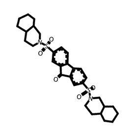 O=C1c2cc(S(=O)(=O)N3CCC4CCCCC4C3)ccc2-c2ccc(S(=O)(=O)N3CCC4CCCCC4C3)cc21